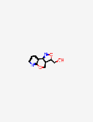 OCC1ON=C2c3cccnc3OCC21